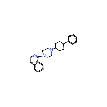 c1ccc(C2CCC(N3CCN(c4nccc5ccccc45)CC3)CC2)cc1